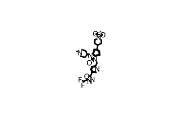 CN1CCC(n2c(=O)n(Cc3ccc(-c4nnc(C(F)F)o4)cn3)c3ccc(C4CCN(S(C)(=O)=O)CC4)cc32)CC1